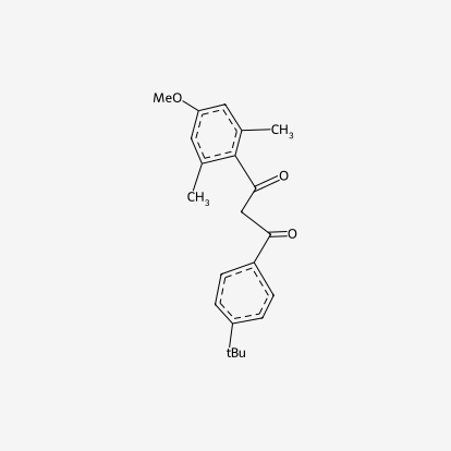 COc1cc(C)c(C(=O)CC(=O)c2ccc(C(C)(C)C)cc2)c(C)c1